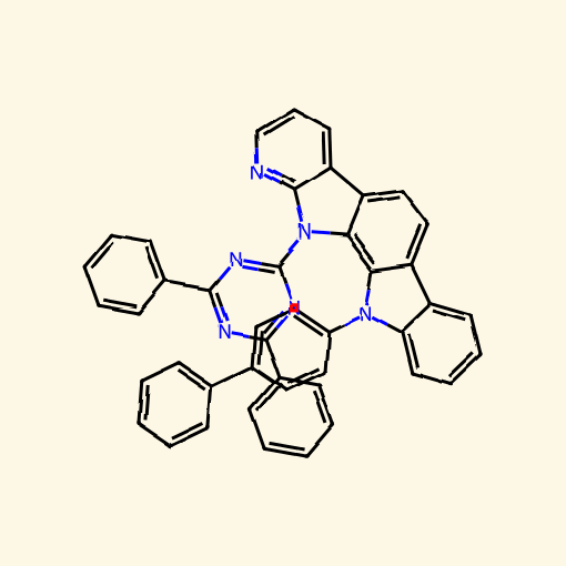 c1ccc(-c2ccc(-n3c4ccccc4c4ccc5c6cccnc6n(-c6nc(-c7ccccc7)nc(-c7ccccc7)n6)c5c43)cc2)cc1